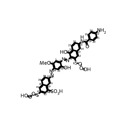 COc1cc(N=Nc2c(SOOO)cc3cc(NC(=O)c4ccc(N)cc4)ccc3c2O)c(O)cc1N=Nc1ccc2cc(SOOO)cc(S(=O)(=O)O)c2c1